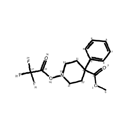 COC(=O)C1(c2ccccc2)CCN(OC(=O)C(F)(F)F)CC1